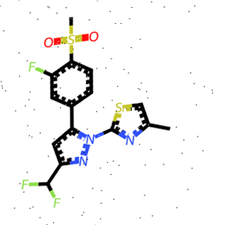 Cc1csc(-n2nc(C(F)F)cc2-c2ccc(S(C)(=O)=O)c(F)c2)n1